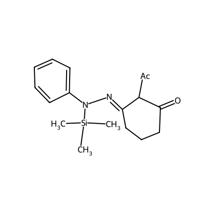 CC(=O)C1C(=O)CCCC1=NN(c1ccccc1)[Si](C)(C)C